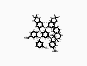 CC1(C)Cc2ccc(N3c4cc5c(cc4B4c6ccc(C(C)(C)C)cc6N(c6cccc(C(C)(C)C)c6)c6cc(N7c8ccc(C(C)(C)C)cc8C8(C)CCc9ccccc9C78C)cc3c64)CC(C)(C)C5)cc2C1